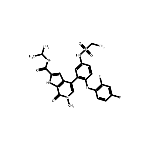 CCS(=O)(=O)Nc1ccc(Oc2ccc(F)cc2F)c(-c2cn(C)c(=O)c3[nH]c(C(=O)NC(C)C)cc23)c1